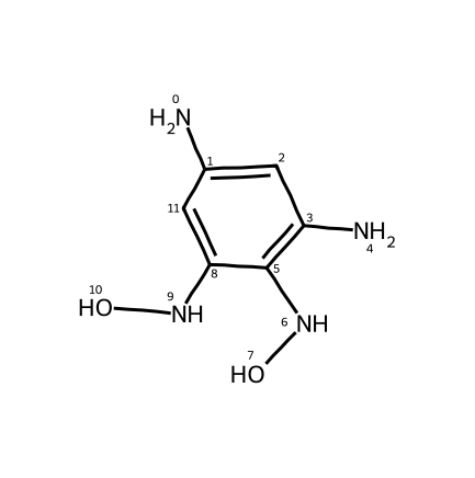 Nc1cc(N)c(NO)c(NO)c1